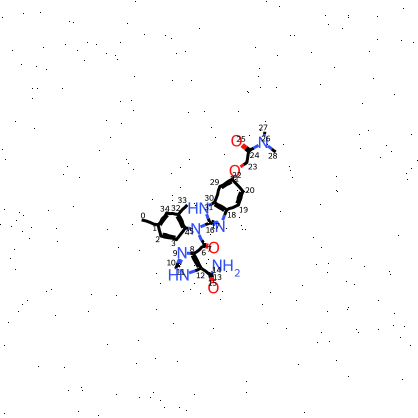 Cc1ccc(N(C(=O)c2nc[nH]c2C(N)=O)c2nc3ccc(OCC(=O)N(C)C)cc3[nH]2)c(C)c1